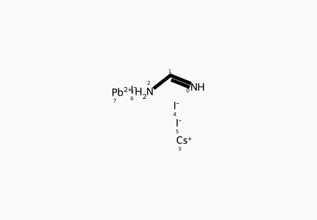 N=CN.[Cs+].[I-].[I-].[I-].[Pb+2]